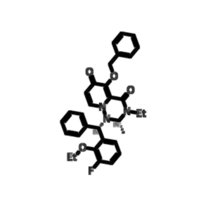 CCOc1c(F)cccc1[C@H](c1ccccc1)N1[C@@H](C)N(CC)C(=O)c2c(OCc3ccccc3)c(=O)ccn21